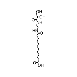 O=C(O)CCCCCCCCCCC(=O)NCCNC(=O)C(O)CO